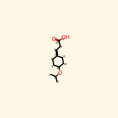 CC(C)OC1CCC(=CCC(=O)O)CC1